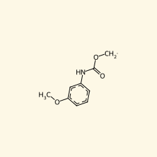 [CH2]OC(=O)Nc1cccc(OC)c1